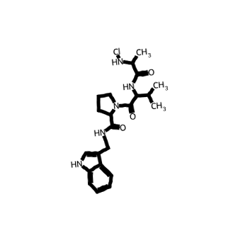 CC(NCl)C(=O)NC(C(=O)N1CCCC1C(=O)NCc1c[nH]c2ccccc12)C(C)C